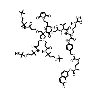 CC(C)C(NC(=O)C[C@H](NC(=O)CCN1C(=O)C=CC1=O)C(=O)NC(COCCC(=O)NC(C)(C)CCOC(C)(C)C)(COCCC(=O)NC(C)(C)CCOC(C)(C)C)COCCC(=O)NC(C)(C)CCOC(C)(C)S)C(=O)N[C@@H](CCCNC(N)=O)C(=O)Nc1ccc(COC(=O)N(C)CCN(C)C(=O)Oc2ccc3ccc(=O)oc3c2)cc1